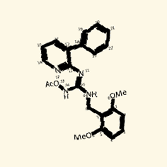 COc1cccc(OC)c1CNC(=Nc1ncccc1-c1ccccc1)NOC(C)=O